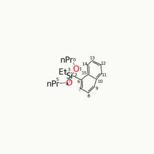 CCCO[Si](CC)(OCCC)c1cccc2ccccc12